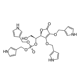 O=C1O[C@H]([C@H](CO)OP(=O)(OCc2cc[nH]c2)OCc2cc[nH]c2)C(OCc2cc[nH]c2)=C1OCc1cc[nH]c1